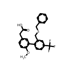 COc1ccc(CC(=O)O)cc1-c1ccc(C(F)(F)F)cc1CSCc1ccccc1